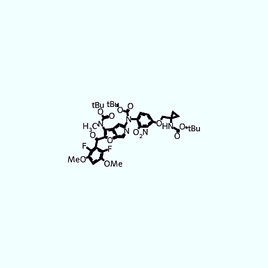 COc1cc(OC)c(F)c(C(=O)c2oc3cnc(N(C(=O)OC(C)(C)C)c4ccc(OCC5(NC(=O)OC(C)(C)C)CC5)cc4[N+](=O)[O-])cc3c2N(C)C(=O)OC(C)(C)C)c1F